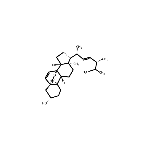 CC(C)[C@@H](C)/C=C/[C@@H](C)[C@H]1CC[C@@H]2[C@]1(C)CC[C@H]1[C@]23C=C[C@]2(C[C@@H](O)CC[C@]12C)OO3